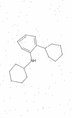 c1ccc(C2CCCCC2)c(NC2CCCCC2)c1